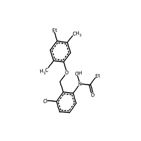 CCC(=O)N(O)c1cccc(Cl)c1COc1cc(C)c(CC)cc1C